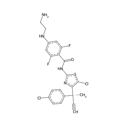 C#C[C@@](C)(c1ccc(Cl)cc1)c1nc(NC(=O)c2c(F)cc(NCCN)cc2F)sc1Cl